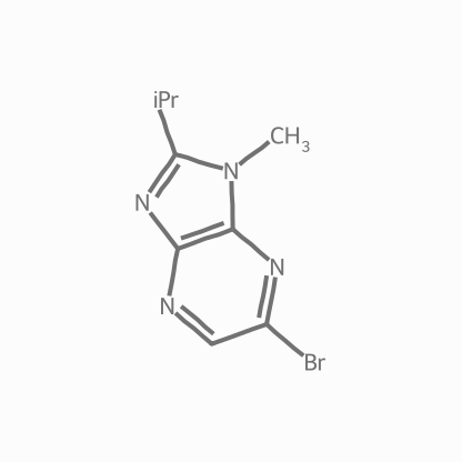 CC(C)c1nc2ncc(Br)nc2n1C